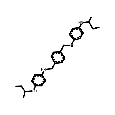 CCC(C)Nc1ccc(NCc2ccc(CNc3ccc(NC(C)CC)cc3)cc2)cc1